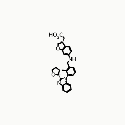 Cc1c(CNc2ccc3c(c2)OC[C@H]3CC(=O)O)cccc1-n1c([C@H]2CCCO2)nc2ccccc21